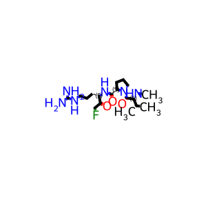 CN[C@H](C(=O)N1CCC[C@H]1C(=O)N[C@@H](CCCNC(N)N)C(=O)CF)C(C)C